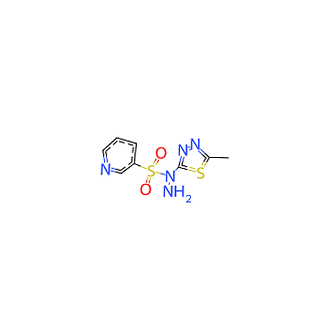 Cc1nnc(N(N)S(=O)(=O)c2cccnc2)s1